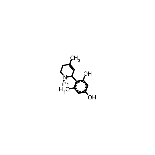 CC1=CC(c2c(C)cc(O)cc2O)N(C(C)C)CC1